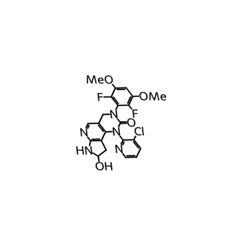 COc1cc(OC)c(F)c(N2Cc3cnc4c(c3N(c3ncccc3Cl)C2=O)CC(O)N4)c1F